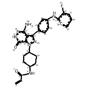 C=CC(=O)NC1CCC(n2nc(-c3ccc(Nc4ccccc4F)cc3)c3c(N)n[nH]c(=O)c32)CC1